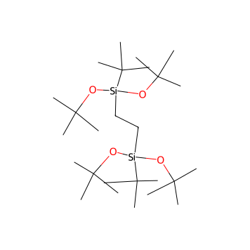 CC(C)(C)O[Si](CC[Si](OC(C)(C)C)(OC(C)(C)C)C(C)(C)C)(OC(C)(C)C)C(C)(C)C